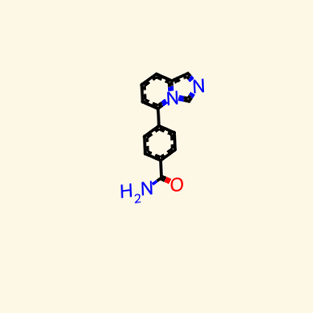 NC(=O)c1ccc(-c2cccc3cncn23)cc1